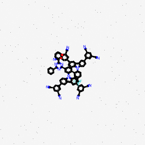 N#Cc1cc(C#N)cc(-c2ccc3c(c2)c2cc(-c4cc(C#N)cc(C#N)c4)ccc2n3-c2ccc(C(F)(F)F)cc2-c2ccc(-c3nc(-c4ccccc4)nc(-c4ccccc4)n3)cc2-n2c3ccc(-c4cc(C#N)cc(C#N)c4)cc3c3cc(-c4cc(C#N)cc(C#N)c4)ccc32)c1